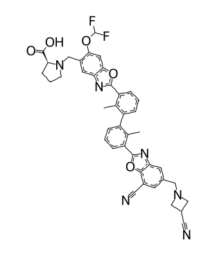 Cc1c(-c2nc3cc(CN4CCC[C@H]4C(=O)O)c(OC(F)F)cc3o2)cccc1-c1cccc(-c2nc3cc(CN4CC(C#N)C4)cc(C#N)c3o2)c1C